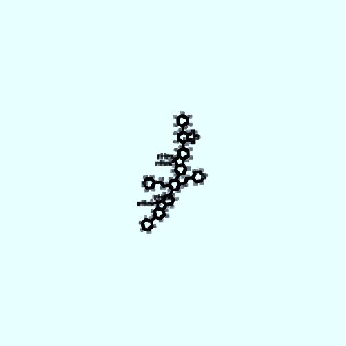 CCCCCCC1(CCCCCC)c2cc(-c3ccccc3)ccc2-c2ccc(-c3cc(/C=C/c4ccncc4)c(-c4ccc5c(c4)C(CCCCCC)(CCCCCC)c4cc(-c6ccc(-c7ccccc7)c7nonc67)ccc4-5)cc3/C=C/c3ccncc3)cc21